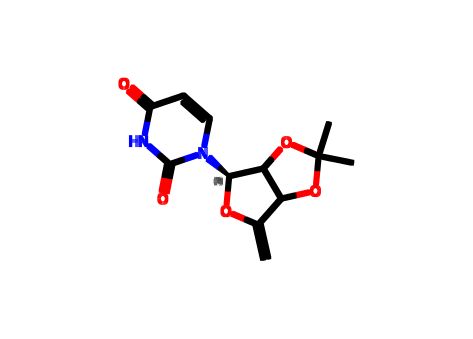 C=C1O[C@@H](n2ccc(=O)[nH]c2=O)C2OC(C)(C)OC12